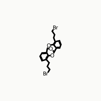 BrCCCc1cccc2c1OC1OC2Oc2c(CCCBr)cccc21